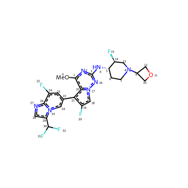 COc1nc(N[C@H]2CCN(C3COC3)C[C@@H]2F)nn2cc(F)c(-c3cc(F)c4ncc(C(F)F)n4c3)c12